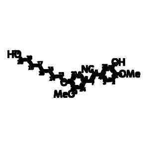 COc1ccc(/C(C#N)=C/c2ccc(OCCCCCCCCO)c(OC)c2)cc1O